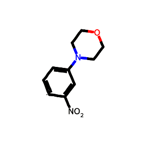 O=[N+]([O-])c1[c]ccc(N2CCOCC2)c1